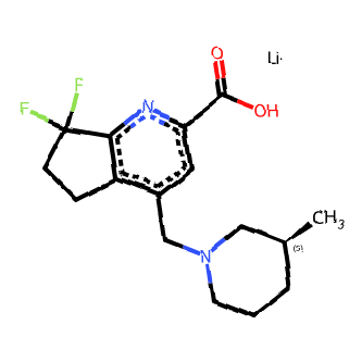 C[C@H]1CCCN(Cc2cc(C(=O)O)nc3c2CCC3(F)F)C1.[Li]